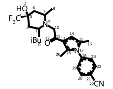 CCC(C)C1C[C@@](O)(C(F)(F)F)CC(C)N1CC(=O)c1cc(C)n(-c2ccc(C#N)cc2)c1C